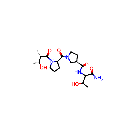 C[C@H](C(=O)N1CCC[C@@H]1C(=O)N1CC[C@@H](C(=O)NC(C(N)=O)[C@@H](C)O)C1)[C@@H](C)O